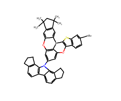 CC(C)(C)c1ccc2c3c(sc2c1)B1c2cc4c(cc2Oc2cc(-n5c6c7c(ccc6c6ccc8c(c65)CCC8)CCC7)cc(c21)O3)C(C)(C)CC4(C)C